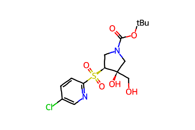 CC(C)(C)OC(=O)N1C[C@H](S(=O)(=O)c2ccc(Cl)cn2)[C@@](O)(CO)C1